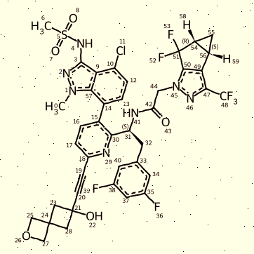 Cn1nc(NS(C)(=O)=O)c2c(Cl)ccc(-c3ccc(C#CC4(O)CC5(COC5)C4)nc3[C@H](Cc3cc(F)cc(F)c3)NC(=O)Cn3nc(C(F)(F)F)c4c3C(F)(F)[C@@H]3C[C@H]43)c21